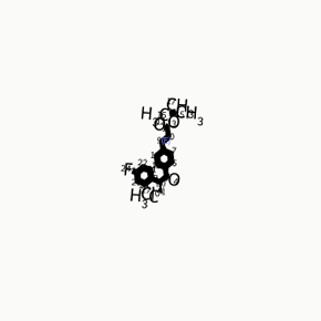 CC[C@H](C(=O)c1ccc(/C=C/C(=O)OC(C)(C)C)cc1)c1ccc(F)cc1Cl